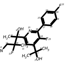 CC(C)(O)c1cc(C(C)(O)C(C)(F)CN)nc(-c2ccc(F)cc2)c1F